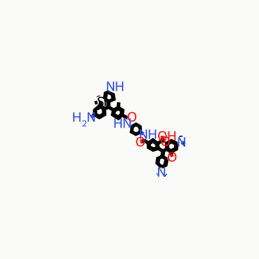 Cc1cc(C(=O)NC2CCC(NC(=O)c3ccc(C4=C5C=CC(N(C)C)C=C5Oc5cc(N(C)C)ccc54)c(C(=O)O)c3)CC2)ccc1C1=C2C=CC(=N)C=C2[Si](C)(C)c2cc(N)ccc21